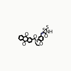 O=C1NC(=S)S/C1=C/c1ccc2c(c1)N(C(=O)c1ccc3c(c1)C(=O)c1ccccc1C3=O)CCCO2